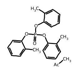 CC(C)=O.Cc1ccccc1OP(=O)(Oc1ccccc1C)Oc1ccccc1C